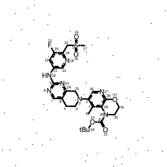 Cc1c(N2CCc3cnc(Nc4cnc(CS(C)(=O)=O)c(F)c4)nc3C2)cnc2c1N(C(=O)OC(C)(C)C)CCO2